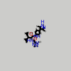 Cc1n[nH]c(C)c1-c1ccc(NC(=O)[C@@H](NC(=O)c2ncnn2C)C(C2CC2)C2CC2)cc1